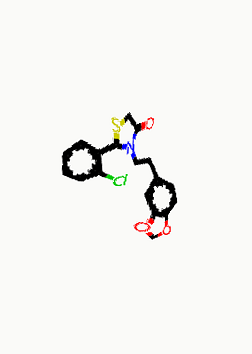 O=C1CSC(c2ccccc2Cl)N1CCc1ccc2c(c1)OCO2